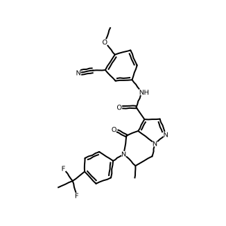 COc1ccc(NC(=O)c2cnn3c2C(=O)N(c2ccc(C(C)(F)F)cc2)C(C)C3)cc1C#N